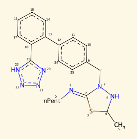 CCCCCN=C1SC(C)NN1Cc1ccc(-c2ccccc2-c2nnn[nH]2)cc1